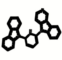 C1=CC(n2c3ccccc3c3ccccc32)NC(n2c3ccccc3c3cnccc32)=C1